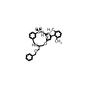 Cc1cccc(C)c1-c1cc2nc(n1)NS(=O)(=O)c1cccc(c1)CN[C@H](COCc1ccccc1)CO2